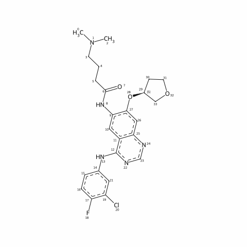 CN(C)CCCC(=O)Nc1cc2c(Nc3ccc(F)c(Cl)c3)ncnc2cc1O[C@H]1CCOC1